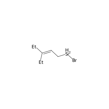 CCC(=CC[SiH2]Br)CC